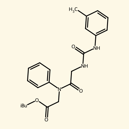 CCC(C)OC(=O)CN(C(=O)CNC(=O)Nc1cccc(C)c1)c1ccccc1